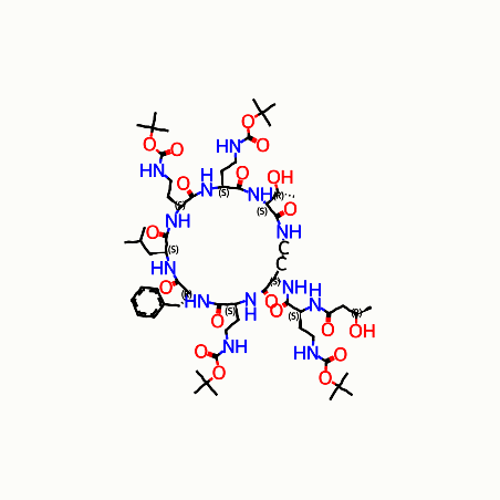 CC(C)C[C@@H]1NC(=O)[C@@H](Cc2ccccc2)NC(=O)[C@H](CCNC(=O)OC(C)(C)C)NC(=O)[C@@H](NC(=O)[C@H](CCNC(=O)OC(C)(C)C)NC(=O)C[C@@H](C)O)CCNC(=O)[C@H]([C@@H](C)O)NC(=O)[C@H](CCNC(=O)OC(C)(C)C)NC(=O)[C@H](CCNC(=O)OC(C)(C)C)NC1=O